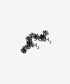 Nc1nc(-c2ccccn2)nn1C(=O)Cc1csc(-c2cccc(-c3cccc(-c4nc(N)n(C(=O)CC5CCS(=O)(=O)CC5)n4)n3)c2)n1